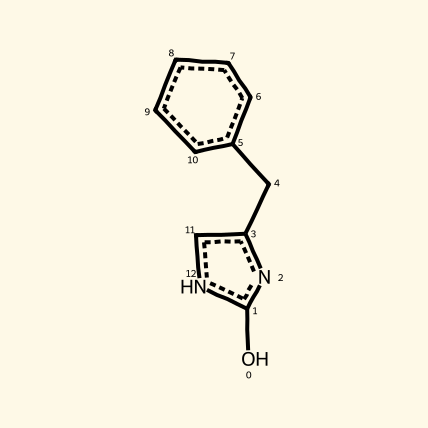 Oc1nc(Cc2ccccc2)c[nH]1